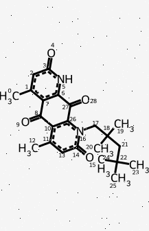 Cc1cc(=O)[nH]c2c1C(=O)c1c(C)cc(=O)n(CC(C)(C)CC(C)(C)C)c1C2=O